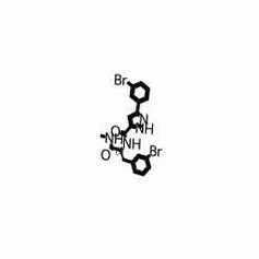 CNC(=O)[C@H](Cc1cccc(Br)c1)NC(=O)c1cc(-c2cccc(Br)c2)n[nH]1